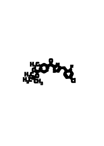 C[C@H]1CN(C(=O)c2nc(Cc3ccc(Cl)cc3F)cs2)CCN1C(=O)OC(C)(C)C